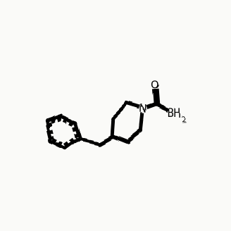 BC(=O)N1CCC(Cc2ccccc2)CC1